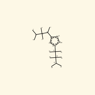 CC(C)C(C)(C)C(C)c1cn(C(C)(C)C(C)(C)C(C)C)nn1